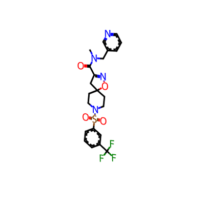 CN(Cc1cccnc1)C(=O)C1=NOC2(CCN(S(=O)(=O)c3cccc(C(F)(F)F)c3)CC2)C1